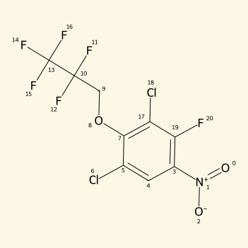 O=[N+]([O-])c1cc(Cl)c(OCC(F)(F)C(F)(F)F)c(Cl)c1F